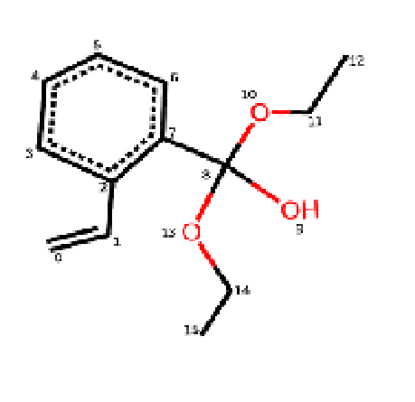 C=Cc1ccccc1C(O)(OCC)OCC